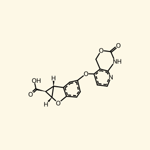 O=C1Nc2nccc(Oc3ccc4c(c3)[C@@H]3[C@H](O4)[C@H]3C(=O)O)c2CO1